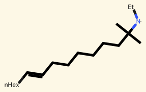 CCCCCC/C=C/CCCCCCC(C)(C)[N]CC